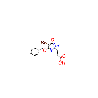 O=C(O)CCc1nc(OCc2ccccc2)c(Br)c(=O)[nH]1